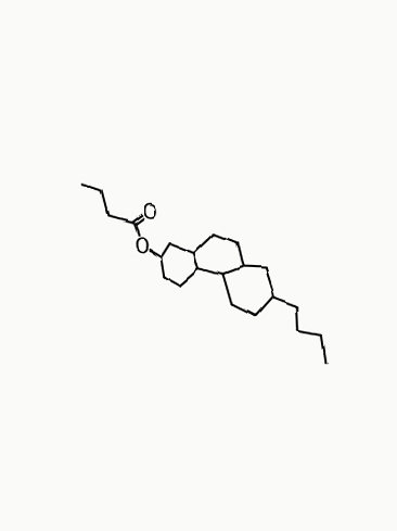 CCCCC1CCC2C(CCC3CC(OC(=O)CCC)CCC32)C1